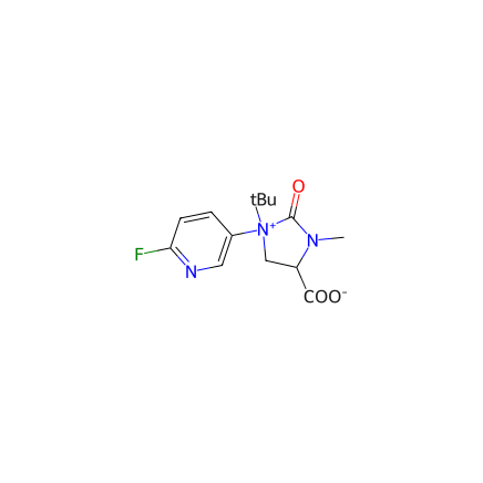 CN1C(=O)[N+](c2ccc(F)nc2)(C(C)(C)C)CC1C(=O)[O-]